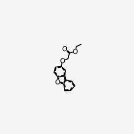 CCOC(=O)COc1ccc2oc3ccccc3c2c1